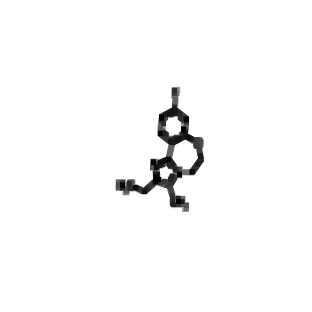 CCc1nc2n(c1C)CCOc1cc(F)ccc1-2